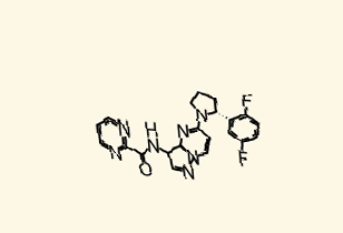 O=C(NC1C=NN2C=CC(N3CCC[C@@H]3c3cc(F)ccc3F)=NC12)c1ncccn1